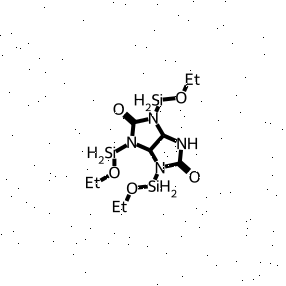 CCO[SiH2]N1C(=O)N([SiH2]OCC)C2C1NC(=O)N2[SiH2]OCC